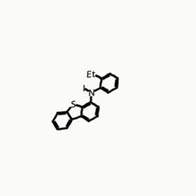 CCc1ccccc1N(I)c1cccc2c1sc1ccccc12